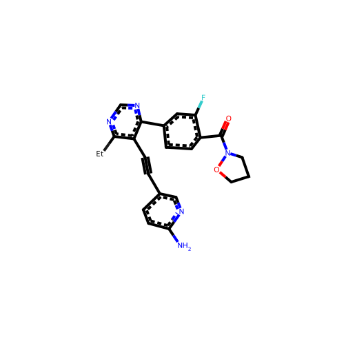 CCc1ncnc(-c2ccc(C(=O)N3CCCO3)c(F)c2)c1C#Cc1ccc(N)nc1